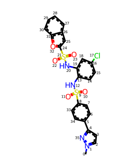 Cn1ccc(-c2ccc(S(=O)(=O)Nc3ccc(Cl)cc3NS(=O)(=O)c3cc4ccccc4o3)cc2)n1